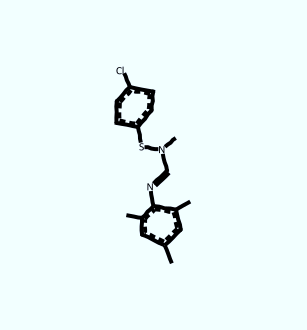 Cc1cc(C)c(N=CN(C)Sc2ccc(Cl)cc2)c(C)c1